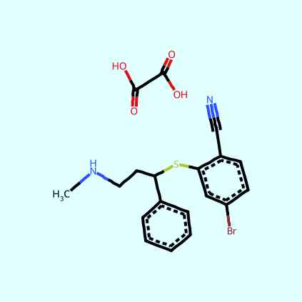 CNCCC(Sc1cc(Br)ccc1C#N)c1ccccc1.O=C(O)C(=O)O